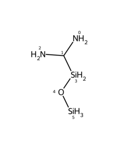 NC(N)[SiH2]O[SiH3]